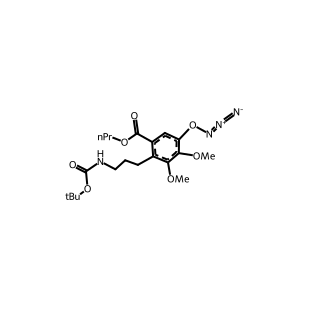 CCCOC(=O)c1cc(ON=[N+]=[N-])c(OC)c(OC)c1CCCNC(=O)OC(C)(C)C